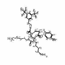 CSCCCN1C[C@@H]2N(C(=O)OCc3cc(C(F)(F)F)cc(C(F)(F)F)c3)C[C@H](Cc3ccc(Br)cc3)C(=O)N2[C@@H](CCCCN)C1=O